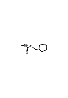 CNC(=O)OCC1CCCCC1